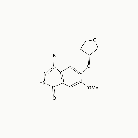 COc1cc2c(=O)[nH]nc(Br)c2cc1O[C@H]1CCOC1